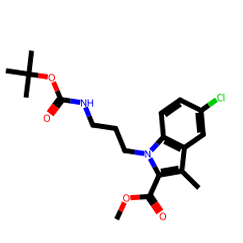 COC(=O)c1c(C)c2cc(Cl)ccc2n1CCCNC(=O)OC(C)(C)C